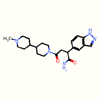 CN1CCC(C2CCN(C(=O)[CH]C(C(N)=O)c3ccc4[nH]ncc4c3)CC2)CC1